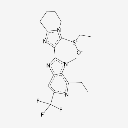 CCc1nc(C(F)(F)F)cc2nc(-c3nc4n(c3[S+]([O-])CC)CCCC4)n(C)c12